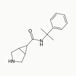 CC(C)(NC(=O)C1C2CNCC21)c1ccccc1